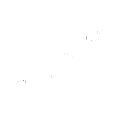 CC12CCC(=NOCCN)C=C1CCC1C2CCC2(C)C(O[N+](=O)[O-])CCC12